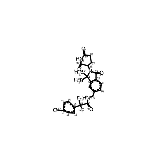 BC1(B)c2cc(CNC(=O)C(F)(F)c3ccc(Cl)cc3)ccc2C(=O)N1C1CCC(=O)NC1=O